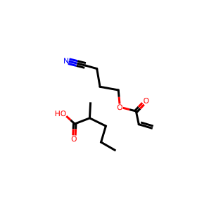 C=CC(=O)OCCCC#N.CCCC(C)C(=O)O